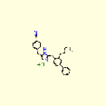 CCCc1cc(-c2ccccc2)ccc1Cc1ncc(Cc2ccc(C#N)cc2)[nH]1.Cl